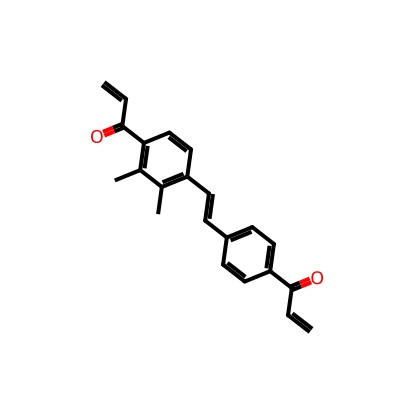 C=CC(=O)c1ccc(C=Cc2ccc(C(=O)C=C)c(C)c2C)cc1